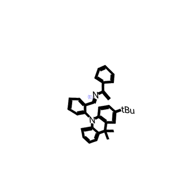 C=C(/N=C/c1ccccc1N1c2ccccc2C(C)(C)c2cc(C(C)(C)C)ccc21)c1ccccc1